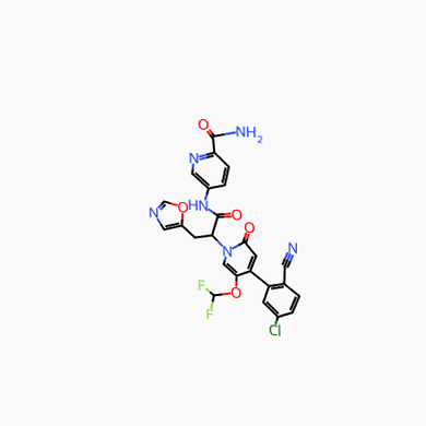 N#Cc1ccc(Cl)cc1-c1cc(=O)n(C(Cc2cnco2)C(=O)Nc2ccc(C(N)=O)nc2)cc1OC(F)F